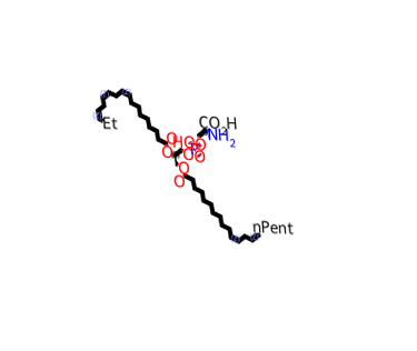 CC/C=C\C/C=C\C/C=C\CCCCCCCC(=O)O[C@H](COC(=O)CCCCCCCCC/C=C\C/C=C\CCCCC)COP(=O)(O)OC[C@H](N)C(=O)O